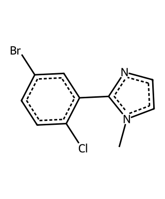 Cn1ccnc1-c1cc(Br)ccc1Cl